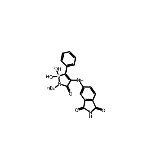 CCCCN1C(=O)C(Nc2ccc3c(c2)C(=O)NC3=O)=C(c2ccccc2)S1(O)O